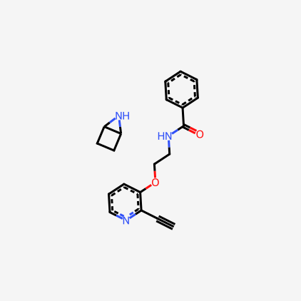 C#Cc1ncccc1OCCNC(=O)c1ccccc1.C1CC2NC12